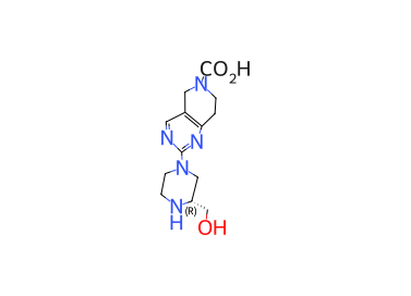 O=C(O)N1CCc2nc(N3CCN[C@@H](CO)C3)ncc2C1